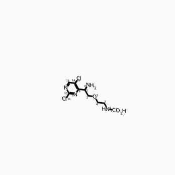 NC(COCCNC(=O)O)c1nc(Cl)ncc1Cl